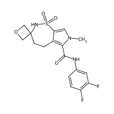 Cn1cc2c(c1C(=O)Nc1ccc(F)c(F)c1)CCC1(COC1)NS2(=O)=O